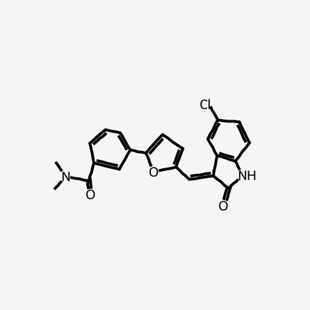 CN(C)C(=O)c1cccc(-c2ccc(/C=C3/C(=O)Nc4ccc(Cl)cc43)o2)c1